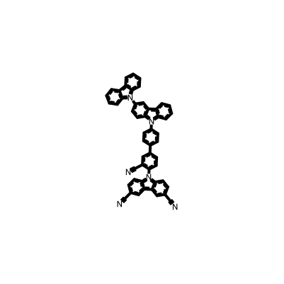 N#Cc1ccc2c(c1)c1cc(C#N)ccc1n2-c1ccc(-c2ccc(-n3c4ccccc4c4cc(-n5c6ccccc6c6ccccc65)ccc43)cc2)cc1C#N